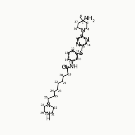 CC1(N)CCN(c2cnc(Sc3cccc(NC(=O)CCCCCCCCN4CCNCC4)c3)cn2)CC1